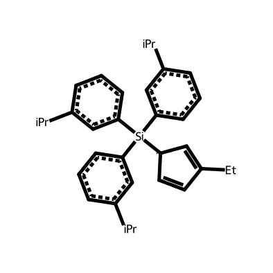 CCC1=C[C]([Si](c2cccc(C(C)C)c2)(c2cccc(C(C)C)c2)c2cccc(C(C)C)c2)C=C1